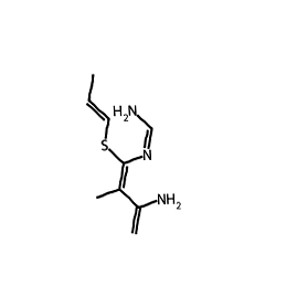 C=C(N)/C(C)=C(\N=C/N)SC=CC